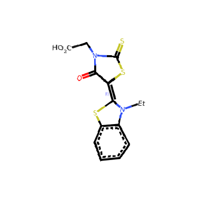 CCN1/C(=C2\SC(=S)N(CC(=O)O)C2=O)Sc2ccccc21